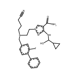 N#CCCCN(CCn1cc(C(N)=O)c(NC(O)C2CC2)n1)Cc1ccc(-c2ccccc2)c(F)c1